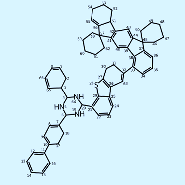 C1=CCC(C2NC(C3=CC=C(c4ccccc4)CC3)NC(c3cccc4c5c(sc34)CCC(c3cccc4c3-c3cc6c(cc3C43CCCCC3)C3CCCC=C3C63CCCCC3)=C5)N2)C=C1